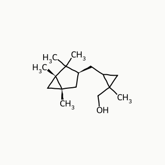 CC1(CO)CC1C[C@H]1C[C@]2(C)C[C@]2(C)C1(C)C